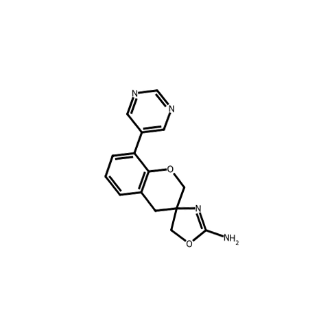 NC1=NC2(CO1)COc1c(cccc1-c1cncnc1)C2